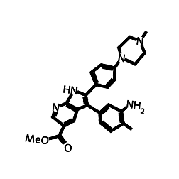 COC(=O)c1cnc2[nH]c(-c3ccc(N4CCN(C)CC4)cc3)c(-c3ccc(C)c(N)c3)c2c1